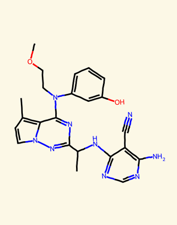 COCCN(c1cccc(O)c1)c1nc(C(C)Nc2ncnc(N)c2C#N)nn2ccc(C)c12